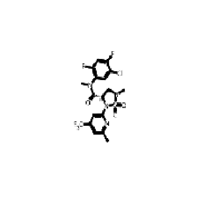 Cc1cc(C(F)(F)F)cc(N2[C@H](C(=O)N(C)c3cc(Cl)c(F)cc3F)CN(C)S2(=O)=O)n1